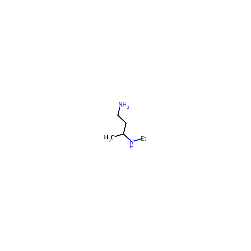 CCNC(C)CCN